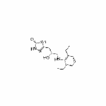 CCc1cccc(CC)c1NCC(O)Cc1n[nH]c(=O)[nH]1